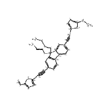 CCCCC1(CCCC)c2cc(C#Cc3ccc(C=O)s3)ccc2-c2ccc(C#Cc3ccc(OC)s3)cc21